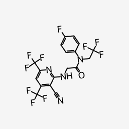 N#Cc1c(C(F)(F)F)cc(C(F)(F)F)nc1NCC(=O)N(CC(F)(F)F)c1ccc(F)cc1